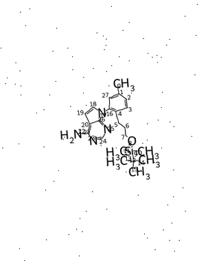 Cc1ccc(CCCO[Si](C)(C)C(C)(C)C)c(-n2ccc3c(N)ncnc32)c1